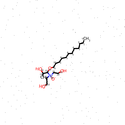 CCCCCCCCCCCCOC(C(C)O)[N+]([O-])(CCO)CCO